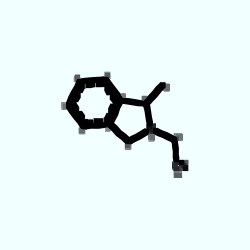 CC1c2ccccc2CN1CC#N